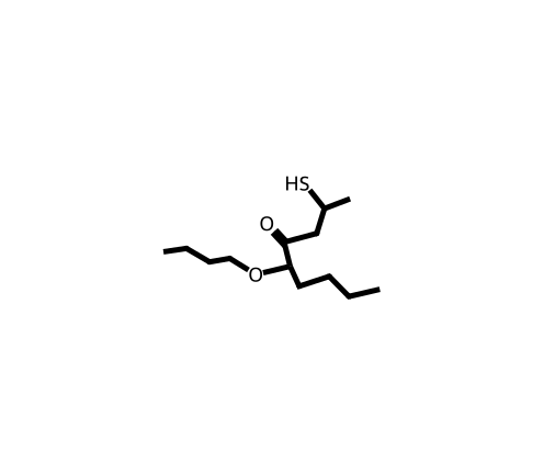 CCCCOC(CCCC)C(=O)CC(C)S